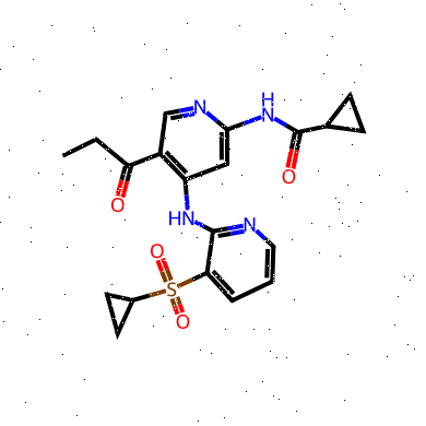 CCC(=O)c1cnc(NC(=O)C2CC2)cc1Nc1ncccc1S(=O)(=O)C1CC1